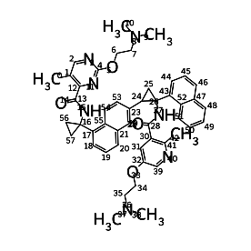 Cc1cnc(OCCN(C)C)nc1C(=O)NC1(c2cccc3cc(C4CC4(NC(=O)c4cc(OCCN(C)C)cnc4C)c4cccc5ccccc45)ccc23)CC1